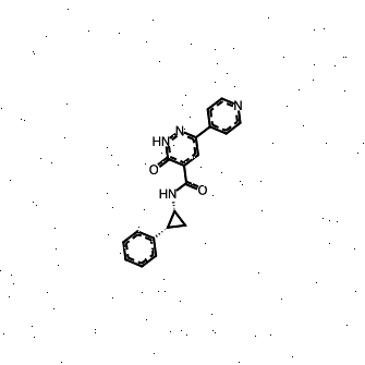 O=C(N[C@@H]1C[C@@H]1c1ccccc1)c1cc(-c2ccncc2)n[nH]c1=O